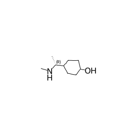 CN[C@H](C)C1CCC(O)CC1